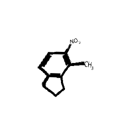 Cc1c([N+](=O)[O-])ccc2c1CCC2